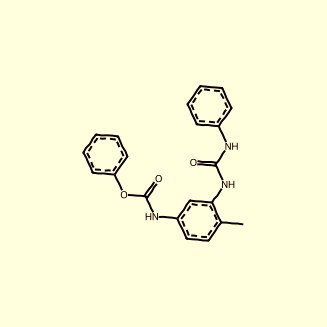 Cc1ccc(NC(=O)Oc2ccccc2)cc1NC(=O)Nc1ccccc1